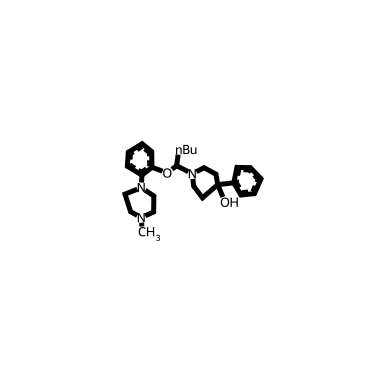 CCCCC(Oc1ccccc1N1CCN(C)CC1)N1CCC(O)(c2ccccc2)CC1